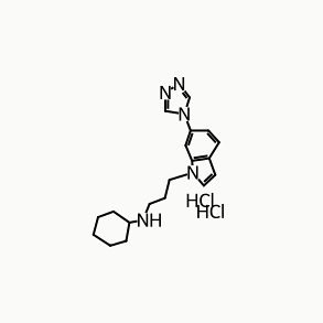 Cl.Cl.c1cc2ccn(CCCNC3CCCCC3)c2cc1-n1cnnc1